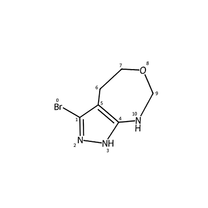 Brc1n[nH]c2c1CCOCN2